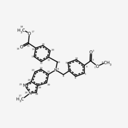 COC(=O)c1ccc(CN(Cc2ccc(C(=O)OC)cc2)c2ccc3nn(C)cc3c2)cc1